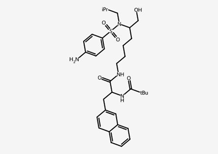 CC(C)CN(C(CO)CCCCNC(=O)C(Cc1ccc2ccccc2c1)NC(=O)C(C)(C)C)S(=O)(=O)c1ccc(N)cc1